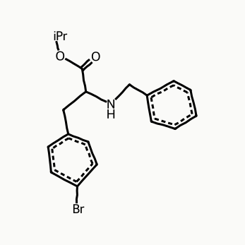 CC(C)OC(=O)C(Cc1ccc(Br)cc1)NCc1ccccc1